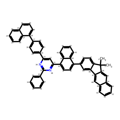 CC1(C)c2ccc(-c3ccc(-c4cc(-c5ccc(-c6cccc7ccccc67)cc5)nc(-c5ccccc5)n4)c4ccccc34)cc2-c2cc3ccccc3cc21